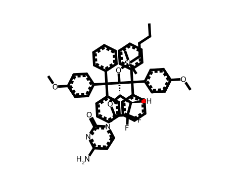 CCCC[Si](C)(C)OC([C@H]1O[C@@H](n2ccc(N)nc2=O)C(F)(F)[C@@H]1O)(C(c1ccccc1)(c1ccccc1)c1ccc(OC)cc1)C(c1ccccc1)(c1ccccc1)c1ccc(OC)cc1